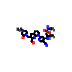 CNS(=O)(=O)CC(C)Nc1cc(N2CCCc3cc(CN4CCN(C)CC4=O)c(C=O)nc32)ncc1C#N